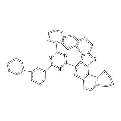 c1ccc(-c2cccc(-c3nc(-c4ccccc4)nc(-c4cc5ccc6ccccc6c5c5sc6ccc7ccccc7c6c45)n3)c2)cc1